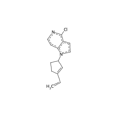 C=CC1=CC(n2ccc3c(Cl)nccc32)CC1